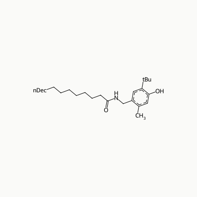 CCCCCCCCCCCCCCCCCC(=O)NCc1cc(C(C)(C)C)c(O)cc1C